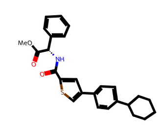 COC(=O)[C@@H](NC(=O)c1cc(-c2ccc(C3CCCCC3)cc2)cs1)c1ccccc1